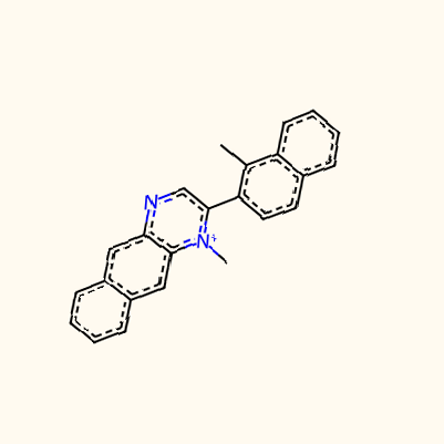 Cc1c(-c2cnc3cc4ccccc4cc3[n+]2C)ccc2ccccc12